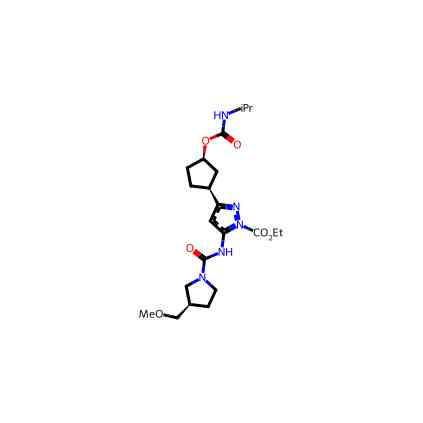 CCOC(=O)n1nc([C@H]2CC[C@@H](OC(=O)NC(C)C)C2)cc1NC(=O)N1CC[C@@H](COC)C1